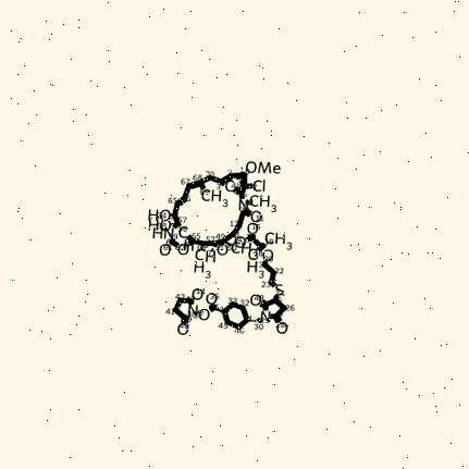 COc1cc2cc(c1Cl)N(C)C(=O)C[C@H](OC(=O)C(C)(C)OCCCSC1CC(=O)N(C[C@H]3CC[C@H](C(=O)ON4C(=O)CCC4=O)CC3)C1=O)[C@]1(C)O[C@H]1[C@H](C)[C@@H]1C[C@@](O)(NC(=O)O1)[C@H](O)/C=C/C=C(\C)C2